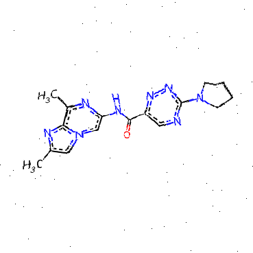 Cc1cn2cc(NC(=O)c3cnc(N4CCCC4)nn3)nc(C)c2n1